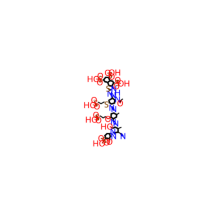 COc1c(S(=O)(=O)O)ccc2c1nc1c(C#N)c(C)c(N=Nc3cc(C)c(N=Nc4cc(NC(C)=O)c(N=Nc5nc6c(S(=O)(=O)O)cc7c(S(=O)(=O)O)cc(S(=O)(=O)O)cc7c6s5)cc4SCCCS(=O)(=O)O)cc3OCCCS(=O)(=O)O)c(O)n12